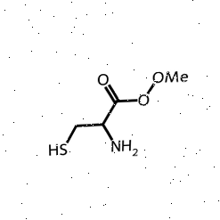 COOC(=O)C(N)CS